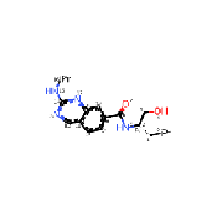 CC(C)C[C@@H](CO)NC(=O)c1ccc2cnc(NC(C)C)nc2c1